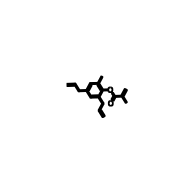 C=CCc1cc(C)c(OC(=O)C(=C)C)c(CC=C)c1